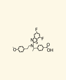 COc1ccc(CCN(c2nc3cc(F)cc(F)c3s2)C(C)c2ccc(C(=O)O)cc2)cc1